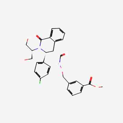 COC(=O)c1cccc(CONC(=O)[C@H]2c3ccccc3C(=O)N([C@@H](CO)[C@H](C)O)[C@@H]2c2ccc(Cl)cc2)c1